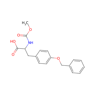 COC(=O)NC(Cc1ccc(OCc2ccccc2)cc1)C(=O)O